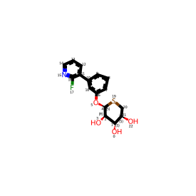 O[C@@H]1[C@@H](O)[C@@H](Oc2cccc(-c3cccnc3F)c2)SC[C@H]1O